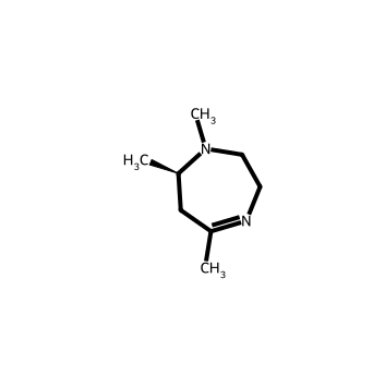 CC1=NCCN(C)[C@H](C)C1